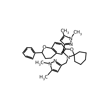 Cc1cc(CN(Cc2cc(C)n(C)n2)C2(Oc3ccc4c(c3)CCC(c3ccccc3)O4)CCCCC2)nn1C